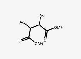 COC(=O)C(C(C)=O)C(C(C)=O)C(=O)OC